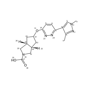 Cc1nn(C)cc1-c1ccc(OC2C[C@@H]3CN(C(=O)O)C[C@@H]3C2)nn1